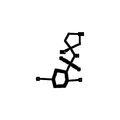 N#C[C@@]1(NS(=O)(=O)c2cc(Cl)ccc2Cl)CCNC1